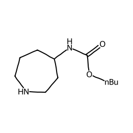 CCCCOC(=O)NC1CCCNCC1